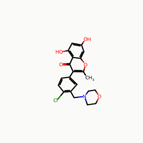 Cc1oc2cc(O)cc(O)c2c(=O)c1-c1ccc(Cl)c(CN2CCOCC2)c1